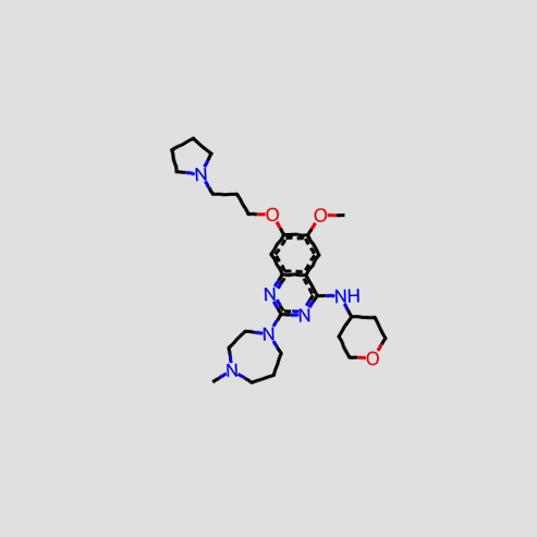 COc1cc2c(NC3CCOCC3)nc(N3CCCN(C)CC3)nc2cc1OCCCN1CCCC1